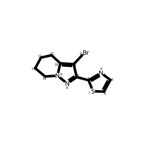 Brc1c(-c2nccs2)nn2c1CCCC2